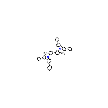 FC(F)(F)c1ccc(-c2ccc(C(F)(F)F)c(-n3c4ccc(-c5ccccc5)cc4c4cc(-c5ccccc5)ccc43)c2)cc1-n1c2ccc(-c3ccccc3)cc2c2cc(-c3ccccc3)ccc21